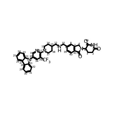 O=C1CCC(N2Cc3cc(CNCC4CCN(c5ncc(-n6c7ccccc7c7ccccc76)cc5C(F)(F)F)CC4)ccc3C2=O)C(=O)N1